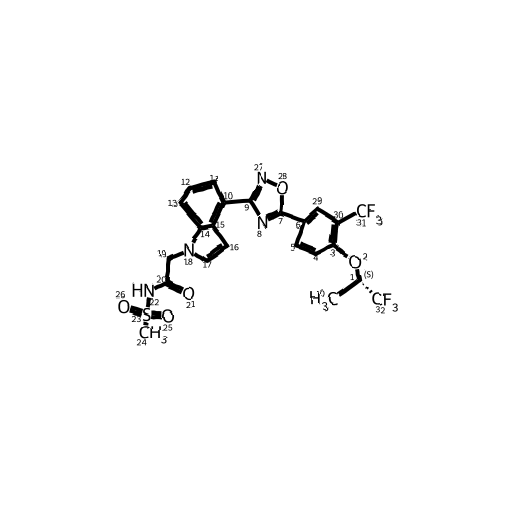 C[C@H](Oc1ccc(-c2nc(-c3cccc4c3ccn4CC(=O)NS(C)(=O)=O)no2)cc1C(F)(F)F)C(F)(F)F